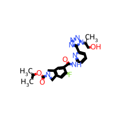 CC(C)OC(=O)N1Cc2cc(F)c(C(=O)Nc3cccc(-c4nnnn4[C@H](C)CO)n3)cc2C1